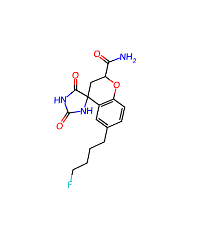 NC(=O)C1CC2(NC(=O)NC2=O)c2cc(CCCCF)ccc2O1